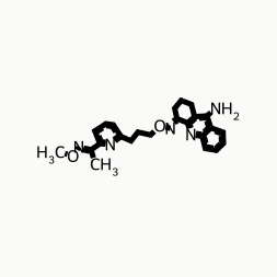 CO/N=C(\C)c1cccc(CCCO/N=C2\CCCc3c2nc2ccccc2c3N)n1